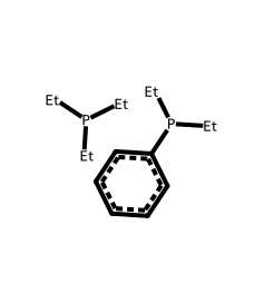 CCP(CC)CC.CCP(CC)c1ccccc1